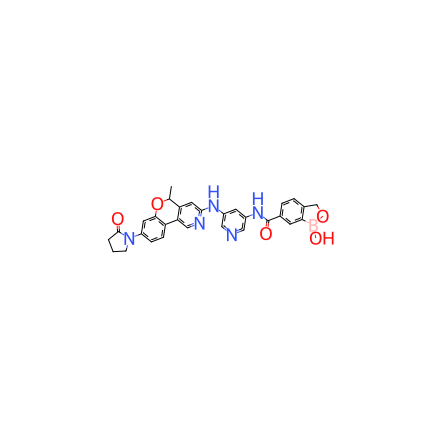 CC1Oc2cc(N3CCCC3=O)ccc2-c2cnc(Nc3cncc(NC(=O)c4ccc5c(c4)B(O)OC5)c3)cc21